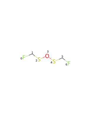 FCSOSCF